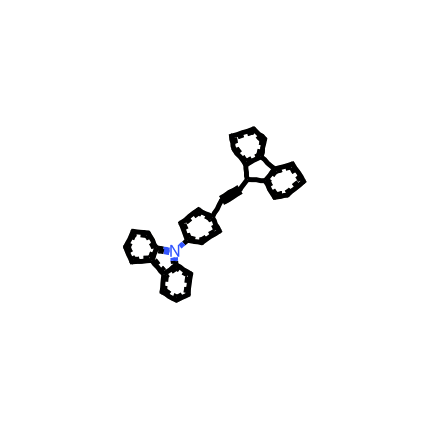 C(#CC1c2ccccc2-c2ccccc21)c1ccc(-n2c3ccccc3c3ccccc32)cc1